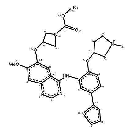 COc1cc2ncnc(Nc3cc(-c4cccs4)ccc3OC3CCN(C)C3)c2cc1OC1CN(C(=O)OC(C)(C)C)C1